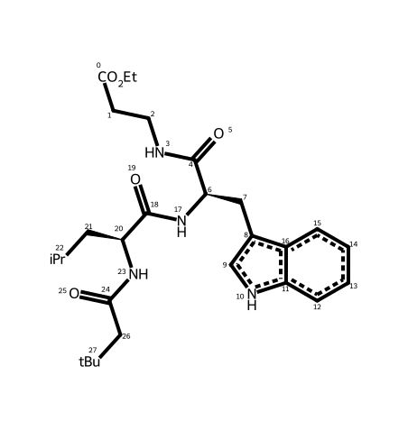 CCOC(=O)CCNC(=O)[C@@H](Cc1c[nH]c2ccccc12)NC(=O)[C@H](CC(C)C)NC(=O)CC(C)(C)C